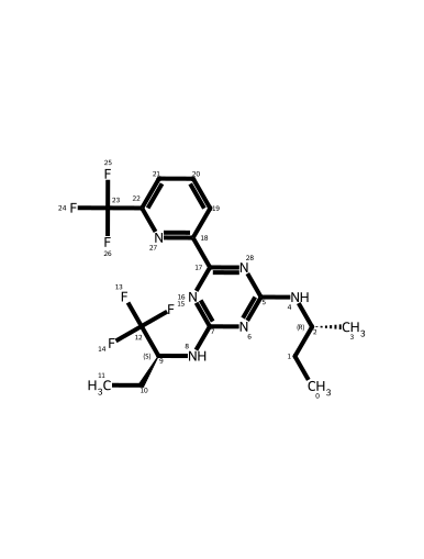 CC[C@@H](C)Nc1nc(N[C@@H](CC)C(F)(F)F)nc(-c2cccc(C(F)(F)F)n2)n1